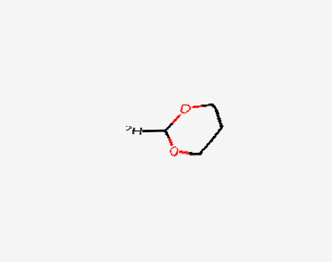 [2H]C1OCCCO1